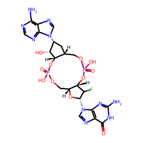 Nc1nc2c(ncn2[C@@H]2O[C@@H]3COP(=O)(O)O[C@H]4[C@@H](COP(=O)(O)O[C@@H]3C2F)C[C@@H](n2cnc3c(N)ncnc32)[C@H]4O)c(=O)[nH]1